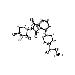 CCCCOC(=O)N1CCN(c2cccc3c2C(=O)N(C2CCC(=O)N(C)C2=O)C3=O)CC1